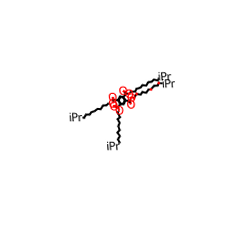 CC(C)CCCCCCCCCCOC(=O)c1cc(C(=O)OCCCCCCCCCCC(C)C)c(C(=O)OCCCCCCCCCCC(C)C)cc1C(=O)OCCCCCCCCCCC(C)C